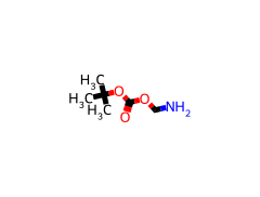 CC(C)(C)OC(=O)OCN